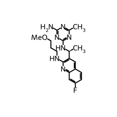 COCCCNc1nc2cc(F)ccc2cc1[C@H](C)Nc1nc(C)nc(N)n1